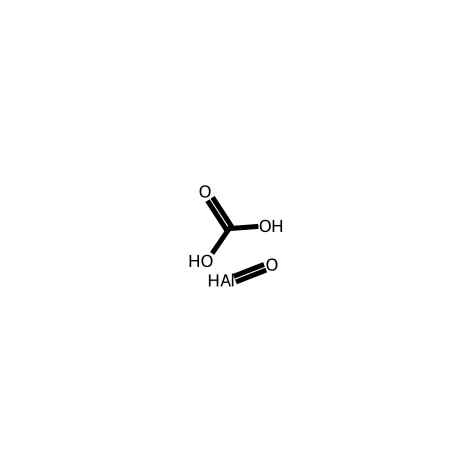 O=C(O)O.[O]=[AlH]